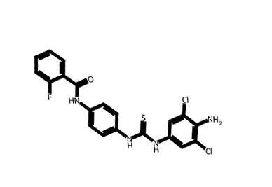 Nc1c(Cl)cc(NC(=S)Nc2ccc(NC(=O)c3ccccc3F)cc2)cc1Cl